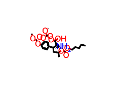 CCCCCOC(=O)OC(C)CC(c1ccc(OC(=O)OC)c(OC(=O)OC)c1)[C@H](N)C(=O)O